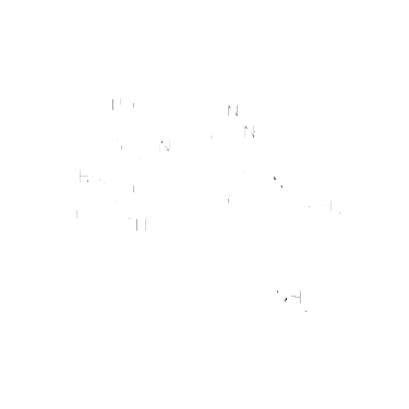 CC(c1cccc(N)c1)N1CCn2nc3c(c2C1=O)CN(C(=O)OC(C)(C)C)[C@H](C)C3